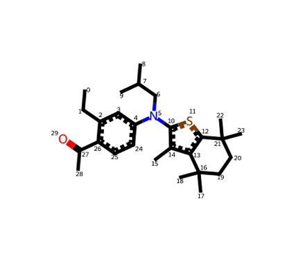 CCc1cc(N(CC(C)C)c2sc3c(c2C)C(C)(C)CCC3(C)C)ccc1C(C)=O